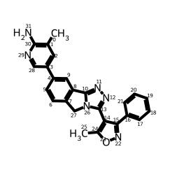 Cc1cc(-c2ccc3c(c2)-c2nnc(-c4c(-c5ccccc5)noc4C)n2C3)cnc1N